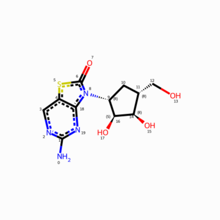 Nc1ncc2sc(=O)n([C@@H]3C[C@H](CO)[C@@H](O)[C@H]3O)c2n1